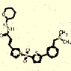 CN(C)Cc1cccc(-c2ccc(S(=O)(=O)n3ccc(C=CC(=O)NOC4CCCCO4)c3)s2)c1